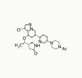 CC(=O)N1CCN(c2ccc(-c3cc(O[C@H](C)[C@H]4CNC(=O)C4)c4c(Cl)cnn4c3)nc2)CC1